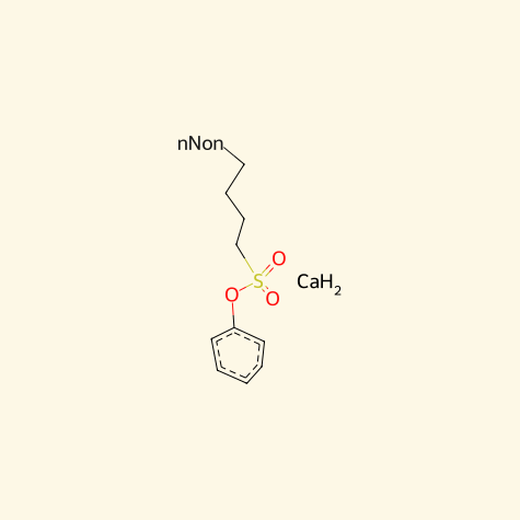 CCCCCCCCCCCCCS(=O)(=O)Oc1ccccc1.[CaH2]